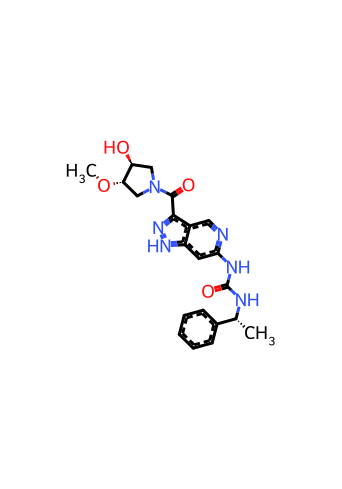 CO[C@H]1CN(C(=O)c2n[nH]c3cc(NC(=O)N[C@H](C)c4ccccc4)ncc23)C[C@@H]1O